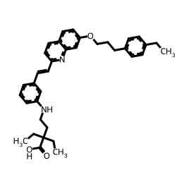 CCc1ccc(CCCOc2ccc3ccc(C=Cc4cccc(NCCC(CC)(CC)C(=O)O)c4)nc3c2)cc1